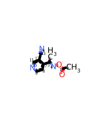 CC(=O)O/N=C(\C)c1ccncc1C#N